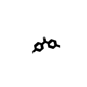 O=C(c1ccc(F)cc1)c1ccc(I)cc1